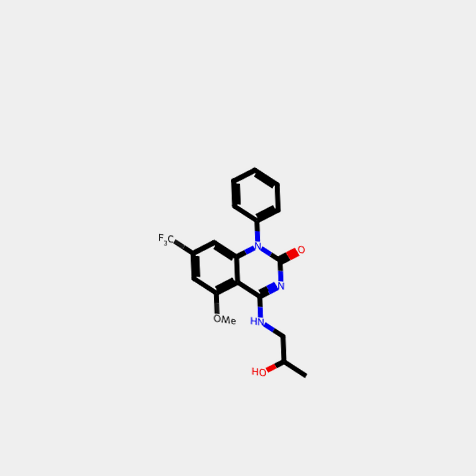 COc1cc(C(F)(F)F)cc2c1c(NCC(C)O)nc(=O)n2-c1ccccc1